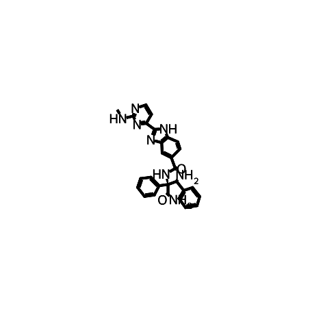 CNc1nccc(-c2nc3cc(C(=O)N[C@@](C(N)=O)(c4ccccc4)C(N)c4ccccc4)ccc3[nH]2)n1